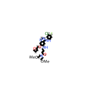 COCCN(CCOC)C(=O)C=CCNc1cc2c(Nc3ccc(F)c(Cl)c3)ncnc2cc1OCC1CCCO1